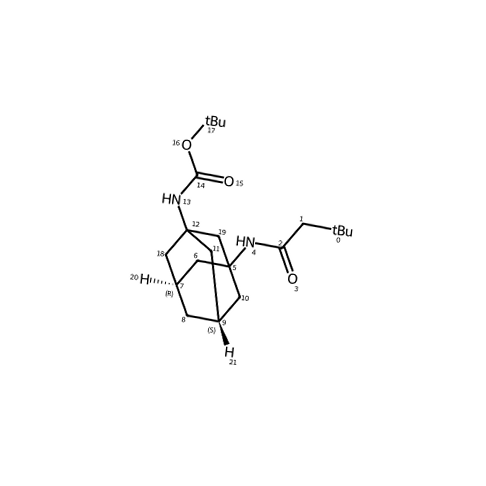 CC(C)(C)CC(=O)NC12C[C@H]3C[C@@H](C1)CC(NC(=O)OC(C)(C)C)(C3)C2